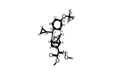 CON=C(C(=O)OC)c1cc2cc(C)c1ON2C(c1ccc(OC(F)(F)F)cc1)C1CC1